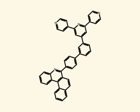 c1cc(-c2ccc(-c3nc4ccccc4c4c3ccc3ccccc34)cc2)cc(-c2cc(-c3ccncc3)nc(-c3ccncc3)c2)c1